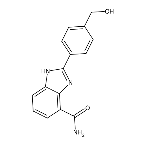 NC(=O)c1cccc2[nH]c(-c3ccc(CO)cc3)nc12